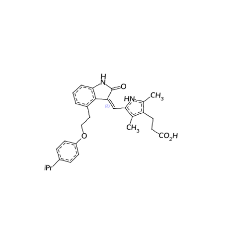 Cc1[nH]c(/C=C2\C(=O)Nc3cccc(CCOc4ccc(C(C)C)cc4)c32)c(C)c1CCC(=O)O